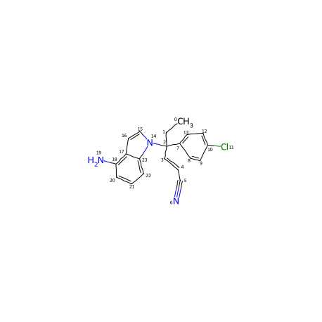 CCC(C=CC#N)(c1ccc(Cl)cc1)n1ccc2c(N)cccc21